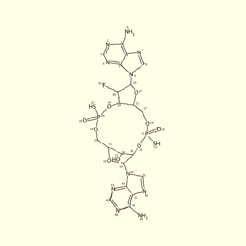 Nc1ncnc2c1ncn2C1OC2COP(=O)(S)OC3C(O)C(COP(=O)(S)OC2C1F)OC3n1cnc2c(N)ncnc21